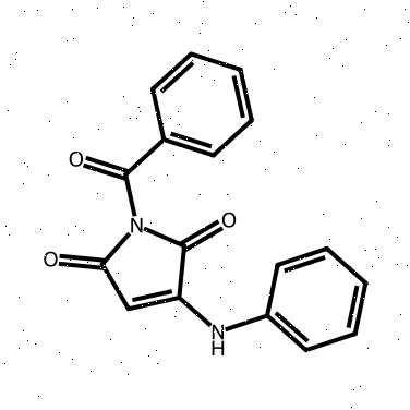 O=C1C=C(Nc2ccccc2)C(=O)N1C(=O)c1ccccc1